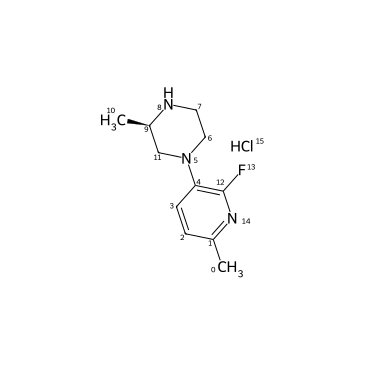 Cc1ccc(N2CCN[C@H](C)C2)c(F)n1.Cl